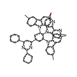 Cc1ccc2c(c1)c1cc(C)ccc1n2-c1cc(-c2cc(-c3ccccc3)nc(-c3ccccc3)n2)cc(-n2c3ccc(C)cc3c3cc(C)ccc32)c1-n1c2ccc(C)nc2c2nc(C)ccc21